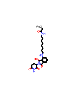 COCC(=O)NCCCCCCCCNc1cccc2c1C(O)N(C1CCC(=O)NC1=O)C2=O